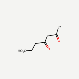 CCC(=O)CC(=O)CCC(=O)O